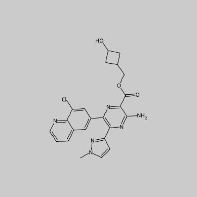 Cn1ccc(-c2nc(N)c(C(=O)OCC3CC(O)C3)nc2-c2cc(Cl)c3ncccc3c2)n1